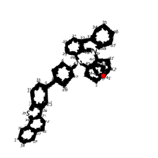 c1ccc(N(c2ccc(-c3ccc4sc5c6ccccc6ccc5c4c3)cc2)c2cccc3c4ccccc4n(-c4ccccc4)c23)cc1